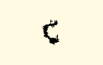 O=C(/C=C/c1cccnc1)NCCCCC1CCN(C(=O)c2ccc(C3CCN(C(=O)CCCCCCSc4cccc5c4C(=O)N(C4CCC(=O)NC4=O)C5=O)CC3)cc2)CC1